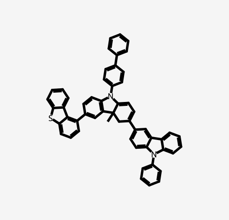 CC12CC(c3ccc4c(c3)c3ccccc3n4-c3ccccc3)=CC=C1N(c1ccc(-c3ccccc3)cc1)c1ccc(-c3cccc4sc5ccccc5c34)cc12